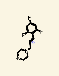 Fc1cc(F)c(/C=C/CN2CC[N]CC2)c(F)c1